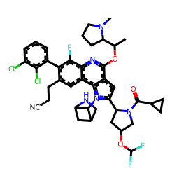 CC(Oc1nc2c(F)c(-c3cccc(Cl)c3Cl)c(CCC#N)cc2c2c1cc(C1CC(OC(F)F)CN1C(=O)C1CC1)n2C1C2CNC1C2)C1CCCN1C